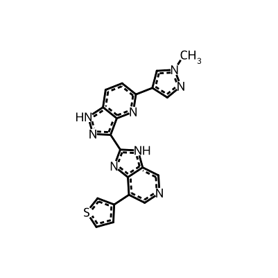 Cn1cc(-c2ccc3[nH]nc(-c4nc5c(-c6ccsc6)cncc5[nH]4)c3n2)cn1